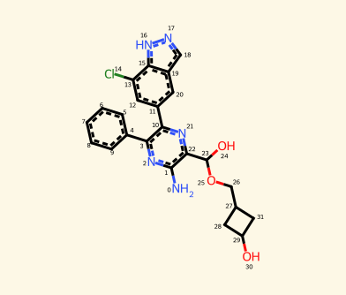 Nc1nc(-c2ccccc2)c(-c2cc(Cl)c3[nH]ncc3c2)nc1C(O)OCC1CC(O)C1